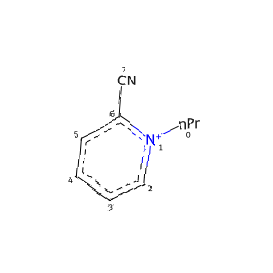 CCC[n+]1ccccc1C#N